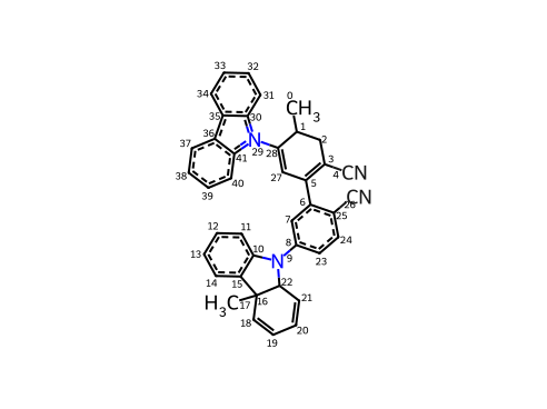 CC1CC(C#N)=C(c2cc(N3c4ccccc4C4(C)C=CC=CC34)ccc2C#N)C=C1n1c2ccccc2c2ccccc21